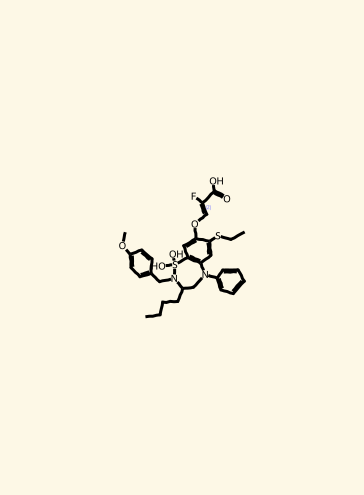 CCCCC1CN(c2ccccc2)c2cc(SCC)c(O/C=C(\F)C(=O)O)cc2S(O)(O)N1Cc1ccc(OC)cc1